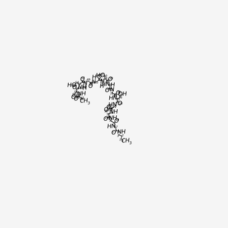 CCCCNC(=O)CNC(=O)CNC(=O)[C@H](CO)NC(=O)CNC(=O)C(CO)NC(=O)CNC(=O)CNC(=O)[C@H](CO)NC(=O)CNC(=O)CNC(=O)C(CO)NC(=O)[C@H](CO)NC(=O)CC